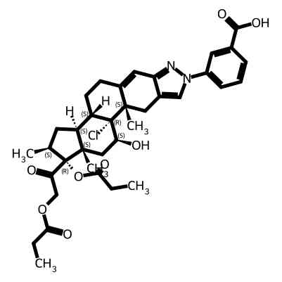 CCC(=O)OCC(=O)[C@@]1(OC(=O)CC)[C@@H](C)C[C@H]2[C@@H]3CCC4=Cc5nn(-c6cccc(C(=O)O)c6)cc5C[C@]4(C)[C@@]3(Cl)[C@@H](O)C[C@@]21C